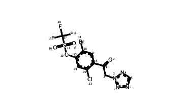 O=C(Cn1ncnn1)c1cc(Br)c(OS(=O)(=O)C(F)(F)F)cc1Cl